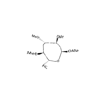 CO[C@H]1O[C@H](C(C)=O)[C@@H](OC)[C@H](OC)[C@H]1OC